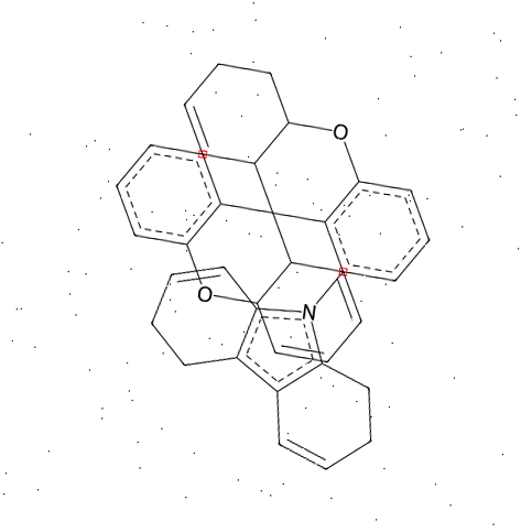 C1=CC2Oc3ccccc3C3(c4c(cccc4-n4c5c(c6c4CCC=C6)CCC=C5)OC4CCC=CC43)C2C=C1